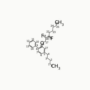 CCCCCc1ccc(-c2ccccc2)c(OCC(F)C(F)CCCCC)c1